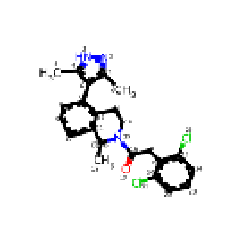 Cc1n[nH]c(C)c1-c1cccc2c1CCN(C(=O)Cc1c(Cl)cccc1Cl)[C@H]2C